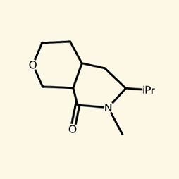 CC(C)C1CC2CCOCC2C(=O)N1C